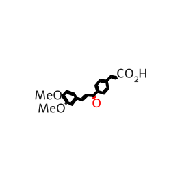 COc1ccc(/C=C/C(=O)c2ccc(/C=C/C(=O)O)cc2)cc1OC